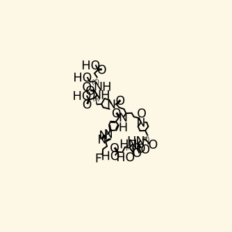 O=C(O)CC[C@H](NC(=O)N[C@@H](CC1CCN(C(=O)CCC(CCC(=O)N2CCC(C[C@@H](NC(=O)N[C@H](CCC(=O)O)C(=O)O)C(=O)O)CC2)NC(=O)c2ccc(-n3cc(CCCF)nn3)cc2)CC1)C(=O)O)C(=O)O